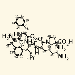 CC(C)CC[C@@H](NC(=O)[C@@H](Cc1ccccc1)NC(=O)[C@H](N)[C@H](C)c1ccccc1)C(=O)N[C@H](CCCCN)C(=O)N1CCC(N)(C(=O)O)C1